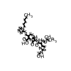 CCCCCCn1nnnc1SCC1=C(C(=O)O)N2C(=O)C(NC(=O)C(=NOC(C)C)c3csc(NC=O)n3)[C@@H]2SC1